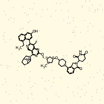 CCc1cccc2cc(O)cc(-c3ncc4c(N5CC6CCC(C5)N6)nc(OC[C@@H]5C[C@@H](OC6CCN(c7cccc8c7CN(C7CCC(=O)NC7=O)C8=O)CC6)CN5C)nc4c3F)c12